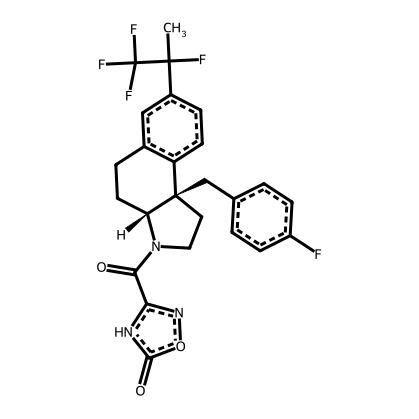 CC(F)(c1ccc2c(c1)CC[C@H]1N(C(=O)c3noc(=O)[nH]3)CC[C@@]21Cc1ccc(F)cc1)C(F)(F)F